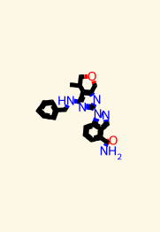 CC1COCc2nc(-n3ncc4c(C(N)=O)cccc43)nc(NCc3ccccc3)c21